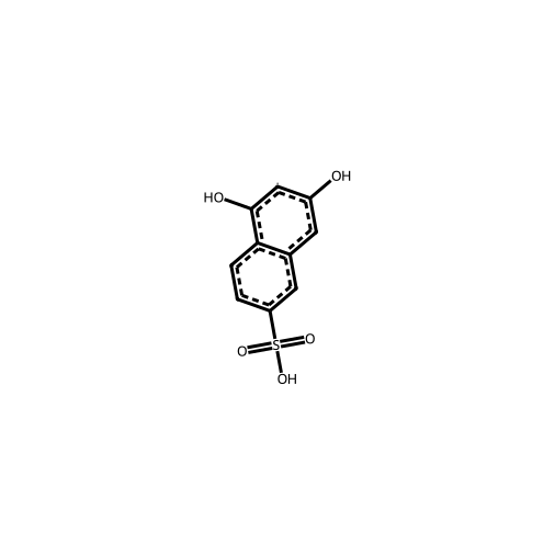 O=S(=O)(O)c1ccc2c(O)[c]c(O)cc2c1